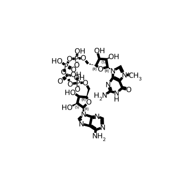 C[n+]1cn([C@@H]2O[C@H](COP(=O)(O)OP(=O)(O)OP(=O)(O)OP(=O)(O)OC[C@H]3O[C@@H](n4cnc5c(N)ncnc54)[C@@H](O)C3O)C(O)[C@@H]2O)c2nc(N)[nH]c(=O)c21